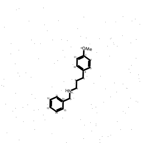 COc1ccc(CCCNCc2ccccc2)cc1